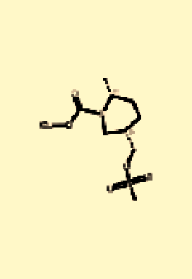 C[C@@H]1CC[C@H](COS(C)(=O)=O)CN1C(=O)OC(C)(C)C